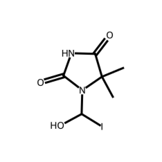 CC1(C)C(=O)NC(=O)N1C(O)I